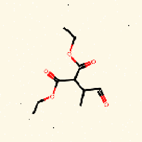 CCOC(=O)C(C(=O)OCC)C(C)C=O